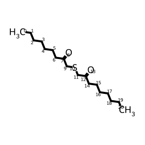 CCCCCCCC(=O)CSCC(=O)CCCCCCC